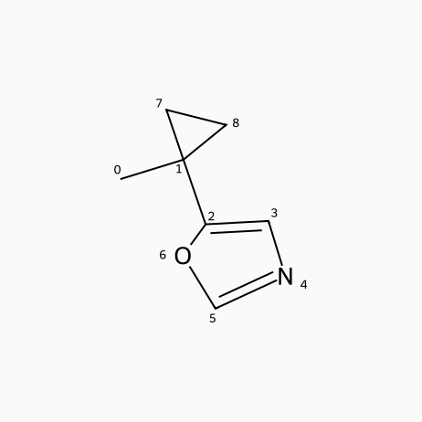 CC1(c2cnco2)CC1